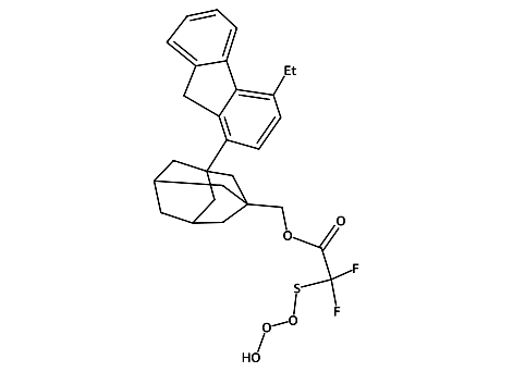 CCc1ccc(C23CC4CC(CC(COC(=O)C(F)(F)SOOO)(C4)C2)C3)c2c1-c1ccccc1C2